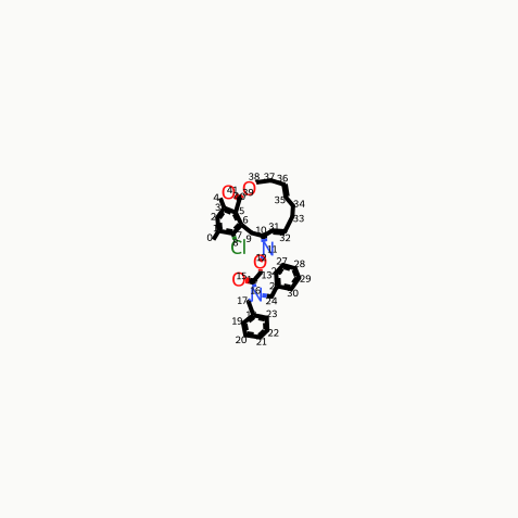 Cc1cc(C)c2c(c1Cl)CC(=N\OCC(=O)N(Cc1ccccc1)Cc1ccccc1)/C=C/CC/C=C/CCOC2=O